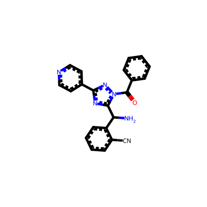 N#Cc1ccccc1C(N)c1nc(-c2ccncc2)nn1C(=O)c1ccccc1